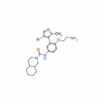 Cn1ncc(Br)c1-c1cc(NC(=O)N2CCC3CCCCC3C2)ccc1OCCN